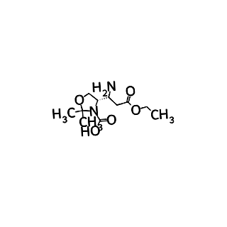 CCOC(=O)CC(N)[C@H]1COC(C)(C)N1C(=O)O